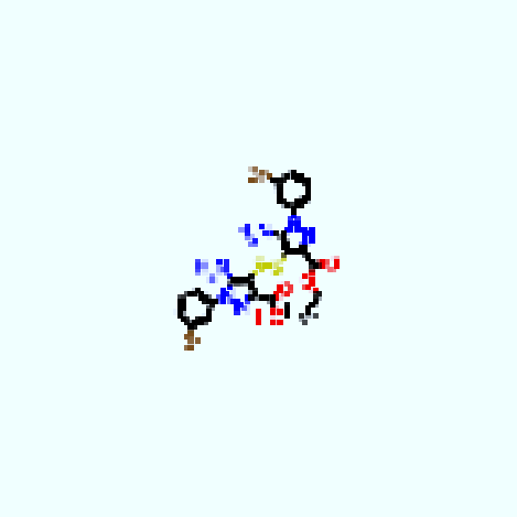 CCOC(=O)c1nn(-c2cccc(Br)c2)c(N)c1SSc1c(C(=O)O)nn(-c2cccc(Br)c2)c1N